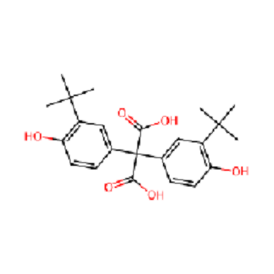 CC(C)(C)c1cc(C(C(=O)O)(C(=O)O)c2ccc(O)c(C(C)(C)C)c2)ccc1O